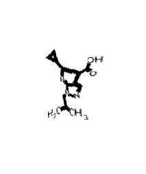 CC(C)Cn1ncc2c(C(=O)O)cc(C3CC3)nc21